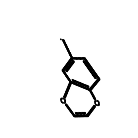 [CH2]c1ccc2c(c1)OC=CO2